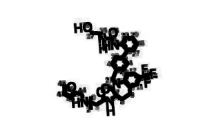 CC(C)(CC(=O)N[C@@H]1CCc2cc(C(F)(F)F)ccc2N(Cc2ccc(-c3ccccc3NC(=O)NCCO)cc2)C1=O)NCc1ccco1